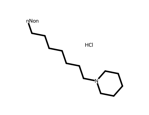 CCCCCCCCCCCCCCCCN1CCCCC1.Cl